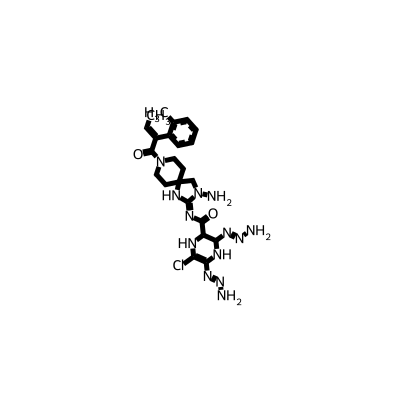 C/C=C(/C(=O)N1CCC2(CC1)CN(N)/C(=N\C(=O)C1NC(Cl)=C(N=NN)NC1N=NN)N2)c1ccccc1C